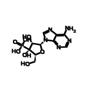 Nc1ncnc2c1ncn2[C@@H]1O[C@H](CO)[C@@](O)(P(=O)(O)O)[C@@H]1O